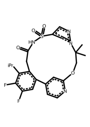 CC(C)c1c(F)c(F)cc2c1CC(=O)NS(=O)(=O)c1cnn(c1)C(C)(C)COc1cc-2ccn1